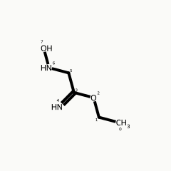 CCOC(=N)CNO